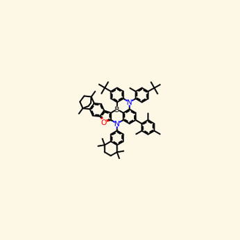 Cc1cc(C)c(-c2cc3c4c(c2)N(c2ccc5c(c2)C(C)(C)CCC5(C)C)c2oc5cc6c(cc5c2B4c2cc(C(C)(C)C)ccc2N3c2ccc(C(C)(C)C)cc2C)C2(C)CCC6(C)CC2)c(C)c1